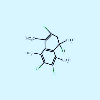 O=C(O)C1=C(Cl)CC(Cl)(C(=O)O)c2c(C(=O)O)c(Cl)c(Cl)c(C(=O)O)c21